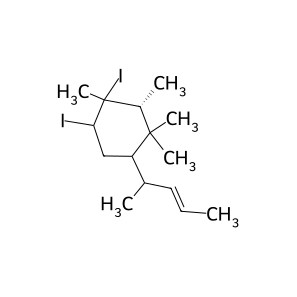 C/C=C/C(C)C1CC(I)C(C)(I)[C@H](C)C1(C)C